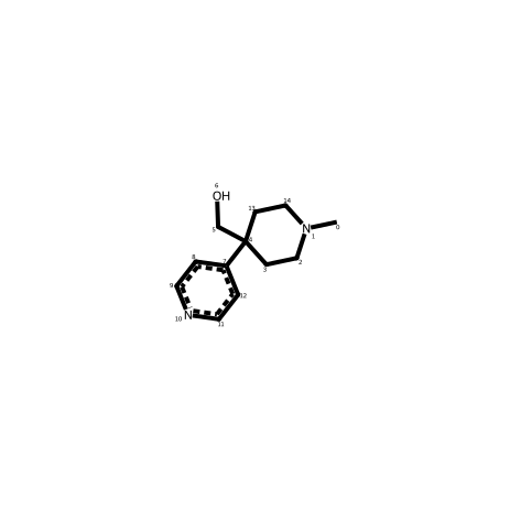 CN1CCC(CO)(c2ccncc2)CC1